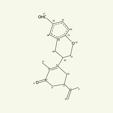 C=C(C)C1CC(=O)C(C)=C(C2COc3ccc(C=O)cc3C2)C1